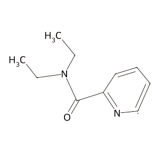 CCN(CC)C(=O)c1ccc[c]n1